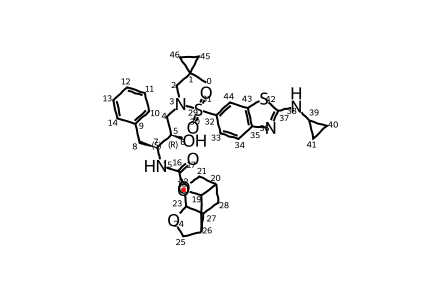 CC1(CN(C[C@@H](O)[C@H](Cc2ccccc2)NC(=O)OC2C3COC4OCC2C4C3)S(=O)(=O)c2ccc3nc(NC4CC4)sc3c2)CC1